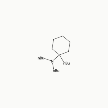 CCCCN(CCCC)C1(CCCC)CCCCC1